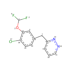 FC(F)Oc1cc([CH]c2cccnn2)ccc1Cl